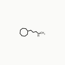 CNCCCC1CCCCCCC1